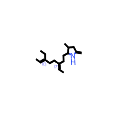 C=C1CC(C)C(CC/C(=C\C)CC/C(=C/C)CC)N1